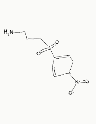 NCCCS(=O)(=O)C1=CC[C]([N+](=O)[O-])C=C1